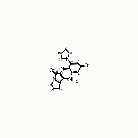 Nc1c(/N=C2\C=CC(=O)C=C2N2CCCC2)c(=O)n2n1CCC2